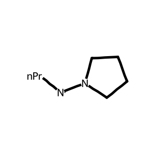 CCC[N]N1CCCC1